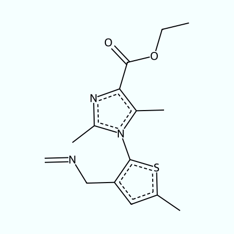 C=NCc1cc(C)sc1-n1c(C)nc(C(=O)OCC)c1C